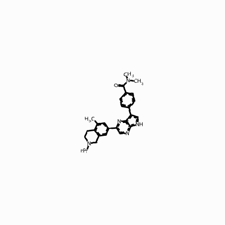 CCCN1CCc2c(C)cc(-c3cnc4[nH]cc(-c5ccc(C(=O)N(C)C)cc5)c4n3)cc2C1